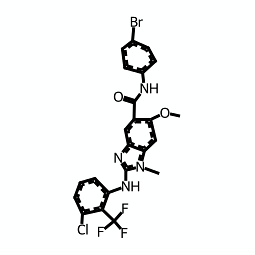 COc1cc2c(cc1C(=O)Nc1ccc(Br)cc1)nc(Nc1cccc(Cl)c1C(F)(F)F)n2C